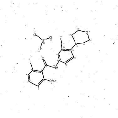 COc1nccc(I)c1C(=O)Nc1ccc(N2CCOCC2)c(F)c1.[O-][S+](Cl)Cl